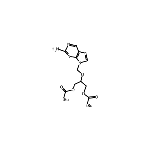 CC(C)(C)C(=O)OCC(COC(=O)C(C)(C)C)OCn1cnc2cnc(N)nc21